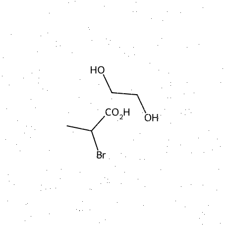 CC(Br)C(=O)O.OCCO